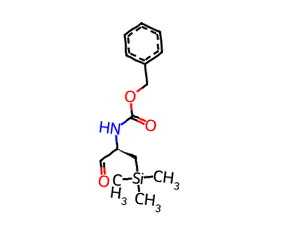 C[Si](C)(C)C[C@@H](C=O)NC(=O)OCc1ccccc1